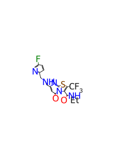 CCNC(=O)c1c(C(F)(F)F)sc2nc(CNCc3ccc(F)cn3)cc(=O)n12